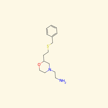 NCCN1CCOC(CCSCc2ccccc2)C1